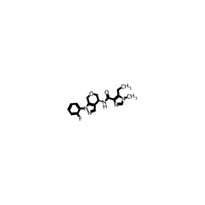 CCc1c(C(=O)N[C@@H]2COCc3c2cnn3-c2ccccc2F)ncn1C